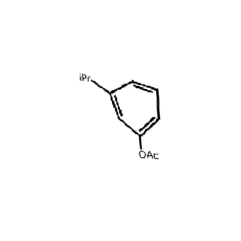 [CH2]C(C)c1cccc(OC(C)=O)c1